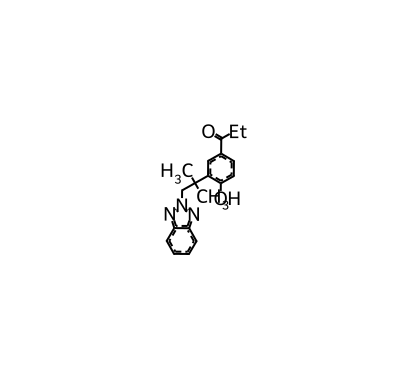 CCC(=O)c1ccc(O)c(C(C)(C)Cn2nc3ccccc3n2)c1